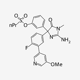 CCCS(=O)(=O)Oc1cccc(C2(c3ccc(F)c(-c4cncc(OC)c4)c3)N=C(N)N(C)C2=O)c1